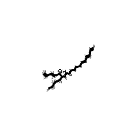 CCCC/C=C/CCCCCCCC(CCCC)C(O)CCCC